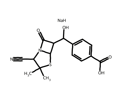 CC1(C)SC2C(C(O)c3ccc(C(=O)O)cc3)C(=O)N2C1C#N.[NaH]